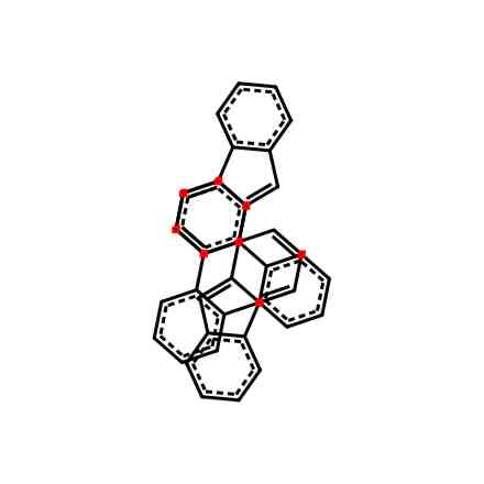 C1=CC2(C3=Cc4ccccc4C3=C1)C1=Cc3ccccc3C1=CC=C2c1ccccc1-c1ccccc1-c1ccccc1